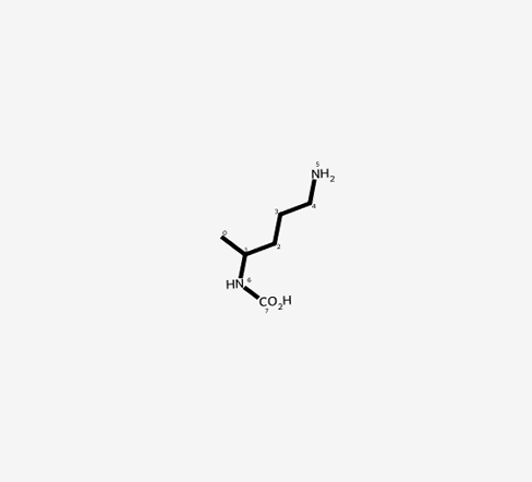 CC(CCCN)NC(=O)O